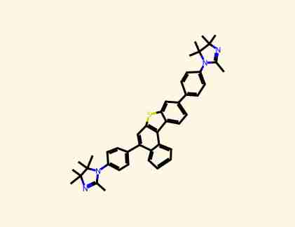 CC1=NC(C)(C)C(C)(C)N1c1ccc(-c2ccc3c(c2)sc2cc(-c4ccc(N5C(C)=NC(C)(C)C5(C)C)cc4)c4ccccc4c23)cc1